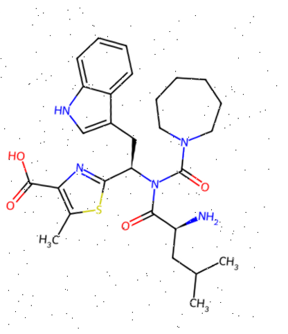 Cc1sc([C@@H](Cc2c[nH]c3ccccc23)N(C(=O)[C@@H](N)CC(C)C)C(=O)N2CCCCCC2)nc1C(=O)O